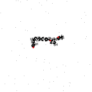 Cc1ncsc1-c1ccc(CNC(=O)[C@@H]2C[C@@H](O)CN2C(=O)C(c2cc(N3CCC(N4CCC(c5cnc(N6CCc7[nH]c8nnc(-c9ccccc9O)cc8c7[C@@H]6C)nc5)CC4)CC3)no2)C(C)C)cc1